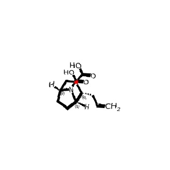 C=CC[C@@H]1[C@@H]2CC[C@H](CN1C(=O)O)N2C(=O)O